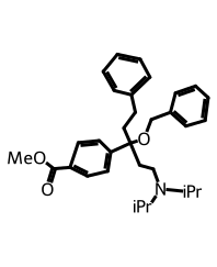 COC(=O)c1ccc(C(CCc2ccccc2)(CCN(C(C)C)C(C)C)OCc2ccccc2)cc1